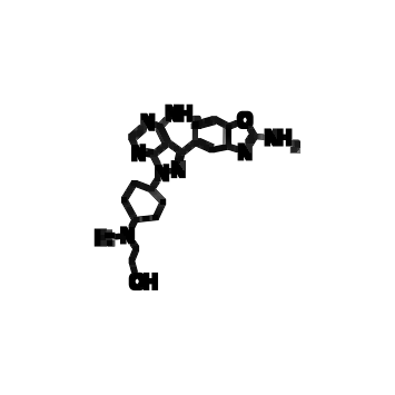 CCN(CCO)C1CCC(n2nc(-c3ccc4oc(N)nc4c3)c3c(N)ncnc32)CC1